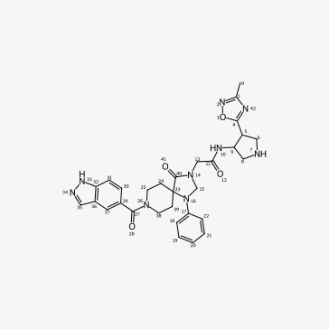 Cc1noc(C2CNCC2NC(=O)CN2CN(c3ccccc3)C3(CCN(C(=O)c4ccc5[nH]ncc5c4)CC3)C2=O)n1